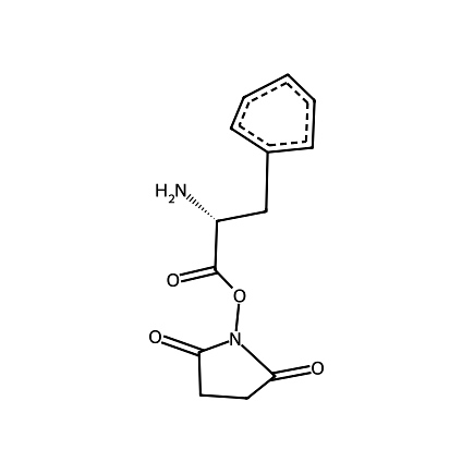 N[C@H](Cc1ccccc1)C(=O)ON1C(=O)CCC1=O